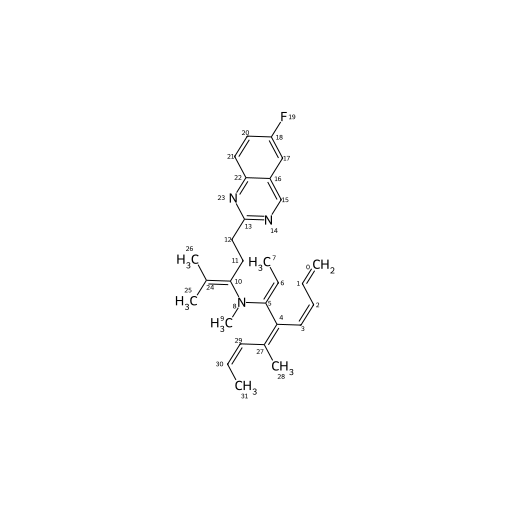 C=C\C=C/C(C(=C/C)/N(C)C(CCc1ncc2cc(F)ccc2n1)=C(C)C)=C(C)/C=C\C